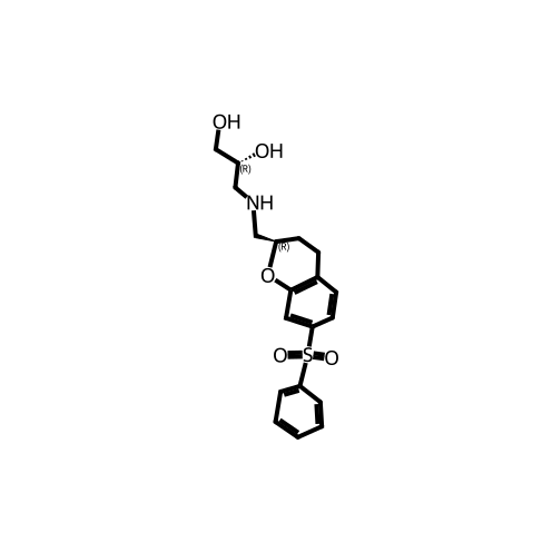 O=S(=O)(c1ccccc1)c1ccc2c(c1)O[C@@H](CNC[C@@H](O)CO)CC2